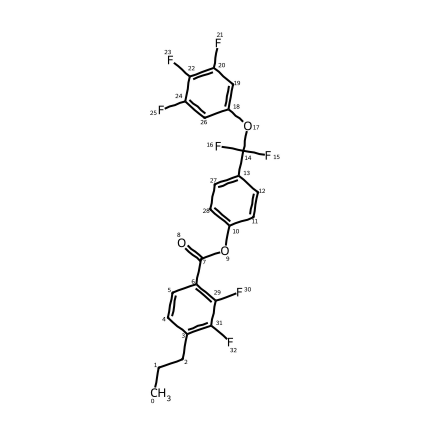 CCCc1ccc(C(=O)Oc2ccc(C(F)(F)Oc3cc(F)c(F)c(F)c3)cc2)c(F)c1F